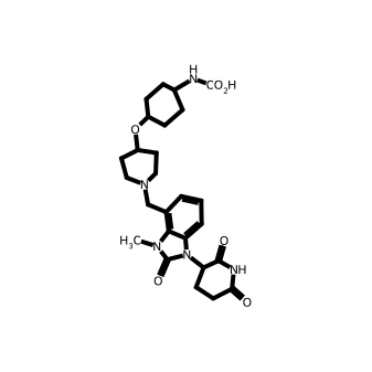 Cn1c(=O)n(C2CCC(=O)NC2=O)c2cccc(CN3CCC(OC4CCC(NC(=O)O)CC4)CC3)c21